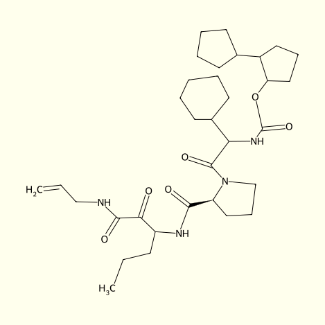 C=CCNC(=O)C(=O)C(CCC)NC(=O)[C@@H]1CCCN1C(=O)C(NC(=O)OC1CCCC1C1CCCC1)C1CCCCC1